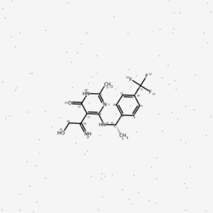 Cc1nc(N[C@@H](C)c2ccc(C(F)(F)F)cc2)c(C(=N)CO)c(=O)[nH]1